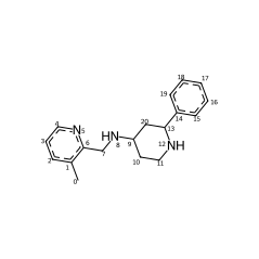 Cc1cccnc1CNC1CCNC(c2ccccc2)C1